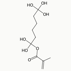 C=C(C)C(=O)OC(O)(O)CCCCC(O)(O)O